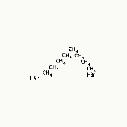 Br.Br.C.C.C.C.C.C.C.C